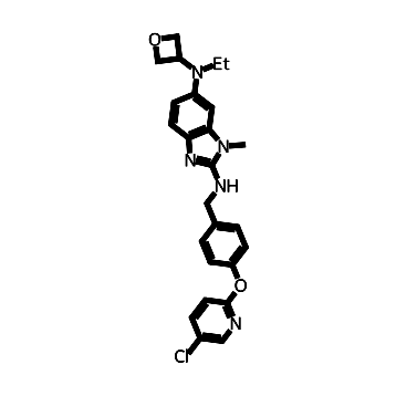 CCN(c1ccc2nc(NCc3ccc(Oc4ccc(Cl)cn4)cc3)n(C)c2c1)C1COC1